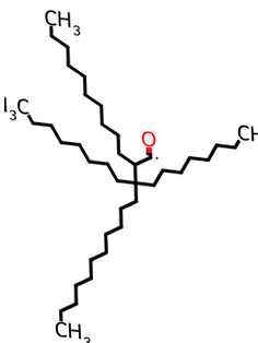 CCCCCCCCCCCC(CCCCCCCC)(CCCCCCCC)C([C]=O)CCCCCCCCCC